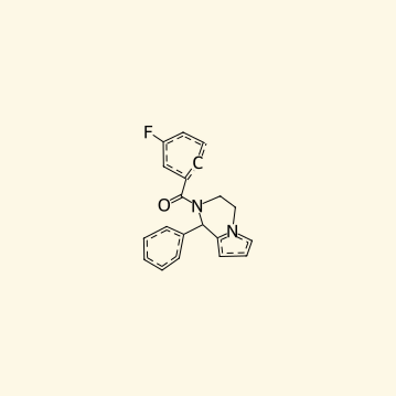 O=C(c1cccc(F)c1)N1CCn2cccc2C1c1ccccc1